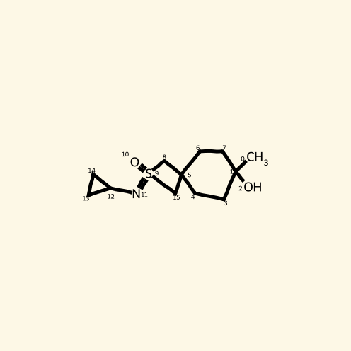 CC1(O)CCC2(CC1)CS(=O)(=NC1CC1)C2